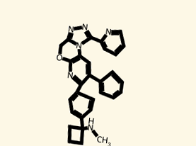 CNC1(c2ccc(-c3nc4c(cc3-c3ccccc3)-n3c(nnc3-c3ccccn3)CO4)cc2)CCC1